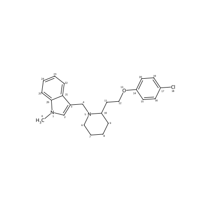 Cn1cc(CN2CCCCC2CCOc2ccc(Cl)cc2)c2ccccc21